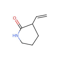 C=CC1CCCNC1=O